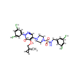 CC1(COc2c(N3CCN(S(=O)(=O)NCc4cc(F)cc(F)c4)CC3)cnn(-c3cc(F)cc(F)c3)c2=O)CC1